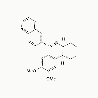 COc1cc2c(cc1OC)[C@@H]1CCCC[C@@H]1N=C2c1ccc2ncccc2c1